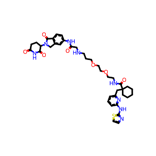 O=C1CCC(N2Cc3cc(NC(=O)CNCCCOCCOCCNC(=O)C4(Cc5cccc(Nc6nccs6)n5)CCCCC4)ccc3C2=O)C(=O)N1